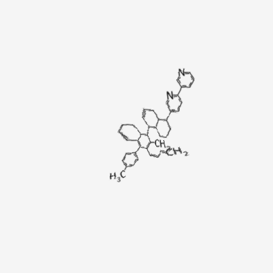 C=C/C=C\C1=C(C)C(C2C=CCC3C(c4ccc(-c5cccnc5)nc4)CCCC23)C2CCC=CC2=C1c1ccc(C)cc1